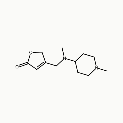 CN1CCC(N(C)CC2=CC(=O)OC2)CC1